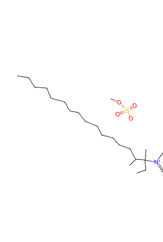 CCCCCCCCCCCCCCC(C)C(C)(CC)[N+]1=CNCC1.COS(=O)(=O)[O-]